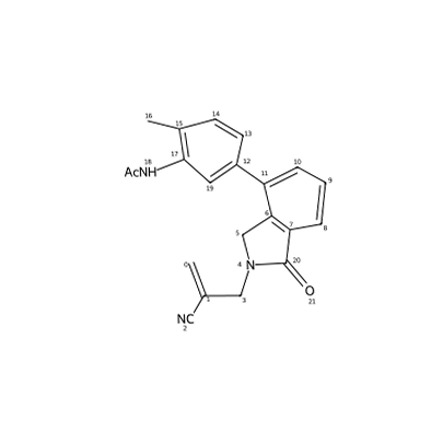 C=C(C#N)CN1Cc2c(cccc2-c2ccc(C)c(NC(C)=O)c2)C1=O